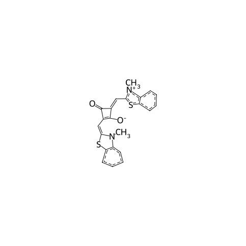 CN1C(=CC2=C([O-])C(=Cc3sc4ccccc4[n+]3C)C2=O)Sc2ccccc21